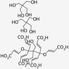 O=C(O)C=COC(C=CC(=O)O)(C=CC(=O)O)C(CO)(CO)C(C=CC(=O)O)(C=CC(=O)O)OC=CC(=O)O.OCC(CO)(CO)CO.OCC(CO)(CO)CO